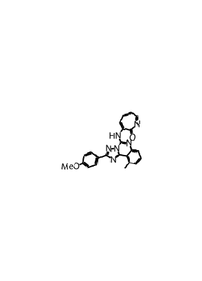 COc1ccc(-c2nc3c4c(C)cccc4nc(Nc4ccccnc4=O)n3n2)cc1